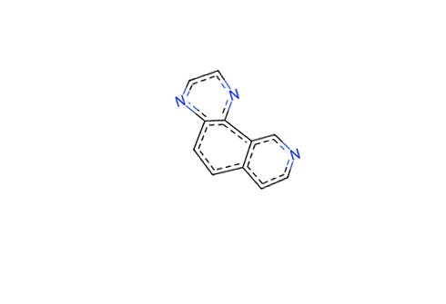 c1cc2ccc3nccnc3c2cn1